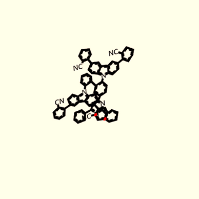 N#Cc1ccccc1-c1ccc2c(c1)c1cc(-c3ccccc3C#N)ccc1n2-c1ccccc1-c1cc(-c2cc(-c3ccccc3)nc(-c3ccccc3)n2)ccc1-n1c2ccc(-c3ccccc3C#N)cc2c2cc(-c3ccccc3C#N)ccc21